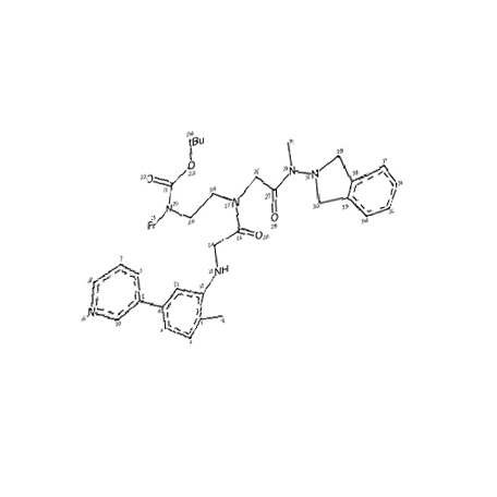 Cc1ccc(-c2cccnc2)cc1NCC(=O)N(CCN(C(=O)OC(C)(C)C)C(C)C)CC(=O)N(C)N1Cc2ccccc2C1